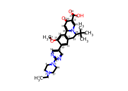 CCN1CCN(c2ncc(-c3cc4c(cc3OC)-c3cc(=O)c(C(=O)O)cn3C(C(C)(C)C)C4)cn2)CC1